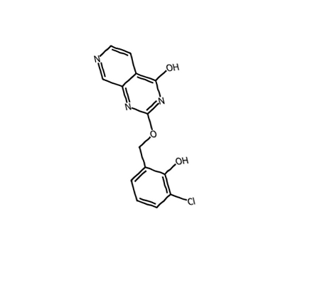 Oc1c(Cl)cccc1COc1nc(O)c2ccncc2n1